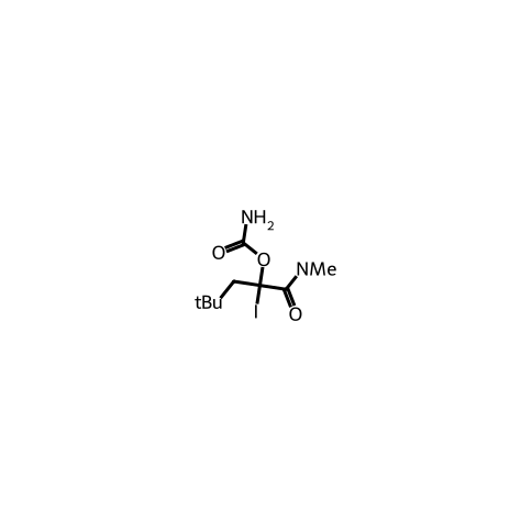 CNC(=O)C(I)(CC(C)(C)C)OC(N)=O